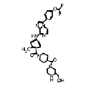 Cc1cc(Nc2nccn3c(-c4ccc(OC(F)F)cc4)cnc23)ccc1C(=O)N1CCC(C(=O)N2CCNC(CO)C2)CC1